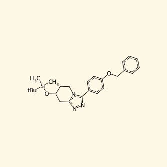 CC(C)(C)[Si](C)(C)OC1CCn2c(nnc2-c2ccc(OCc3ccccc3)cc2)C1